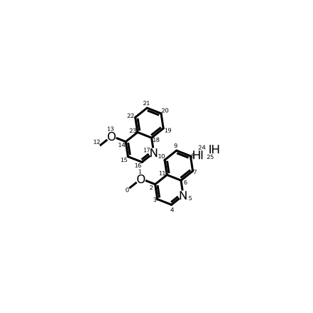 COc1ccnc2ccccc12.COc1ccnc2ccccc12.I.I